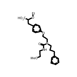 CCOC(Cc1ccc(OCCN(CCCc2ccccc2)C(=O)NCCOC)cc1)C(=O)O